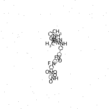 Cc1cccc(C)c1Nc1nn(C)c2nc(Nc3ccc(C4CCN(C(=O)C5(F)CCN(c6cc7c(cc6F)C(=O)N(C6CCC(=O)NC6=O)C7=O)CC5)CC4)cc3)ncc12